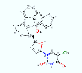 O=c1[nH]c(=O)n([C@H]2C=C[C@@H](COC(c3ccccc3)(c3ccccc3)c3ccccc3)O2)cc1Cl